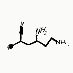 N#CC(C#N)CC(N)CCN